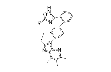 CCc1nc2c(C)c(C)c(C)nc2n1-c1ccc(-c2ccccc2-c2nc(=S)o[nH]2)cc1